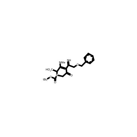 CNC1=C(C(=N)COCc2ccccc2)C(=O)CN(C(=O)OC(C)(C)C)C1C(=O)O